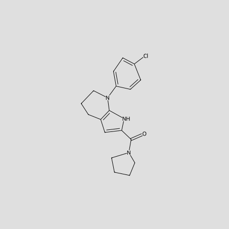 O=C(c1cc2c([nH]1)N(c1ccc(Cl)cc1)CCC2)N1CCCC1